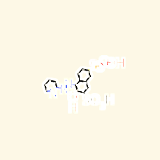 O=S(=O)(O)c1cc2cc(SOOO)ccc2c(/N=N/c2ccccn2)c1O